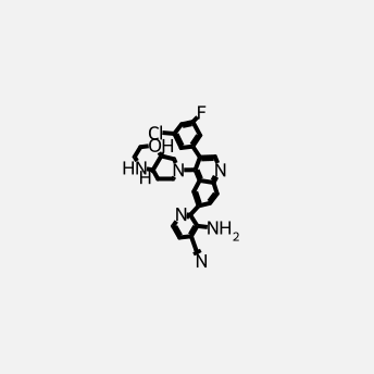 N#Cc1ccnc(-c2ccc3ncc(-c4cc(F)cc(Cl)c4)c(N4CC[C@@H]5NCCO[C@H]5C4)c3c2)c1N